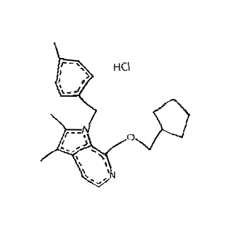 Cc1ccc(Cn2c(C)c(C)c3ccnc(OCC4CCCC4)c32)cc1.Cl